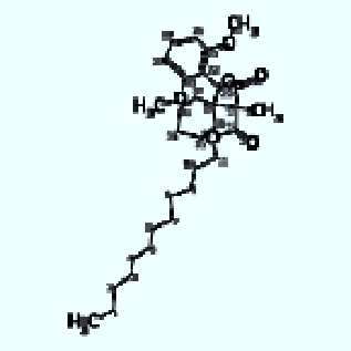 CCCCCCCCCCCCOC(=O)C(C)(P=O)C1(C(=O)c2c(OC)cccc2OC)CCCCC1